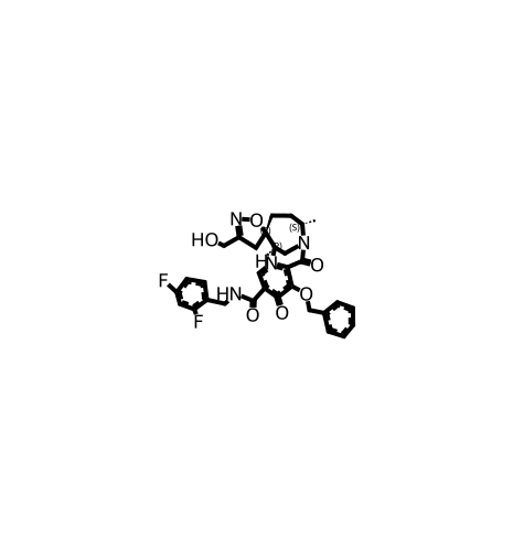 C[C@H]1CC[C@]2(CC(CO)=NO2)[C@H]2CN1C(=O)c1c(OCc3ccccc3)c(=O)c(C(=O)NCc3ccc(F)cc3F)cn12